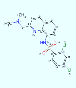 CN(C)Cc1ccc2cccc(NS(=O)(=O)c3ccc(Cl)cc3Cl)c2n1